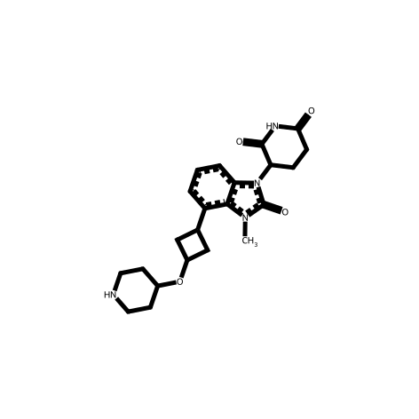 Cn1c(=O)n(C2CCC(=O)NC2=O)c2cccc(C3CC(OC4CCNCC4)C3)c21